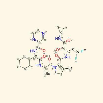 CC[C@H]1CCN(C(=O)[C@@H](NC(=O)[C@@H](NC(=O)c2cnccn2)C2CCCCC2)C(C)(C)C)[C@@H]1C(=O)NC(CC(F)F)C(=O)C(=O)NC1CC1